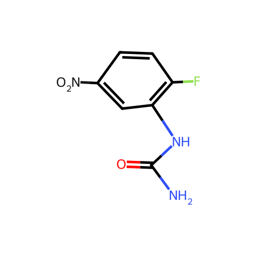 NC(=O)Nc1cc([N+](=O)[O-])ccc1F